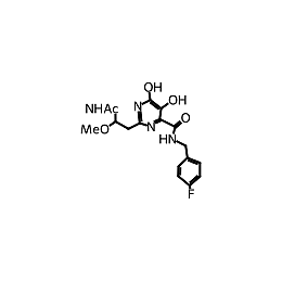 COC(Cc1nc(O)c(O)c(C(=O)NCc2ccc(F)cc2)n1)NC(C)=O